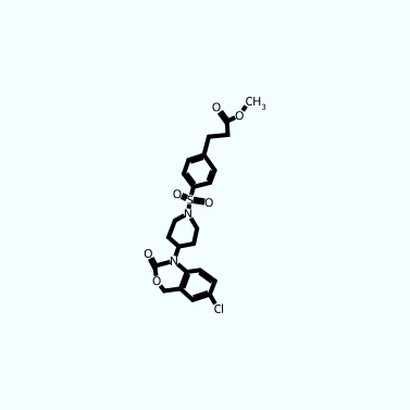 COC(=O)CCc1ccc(S(=O)(=O)N2CCC(N3C(=O)OCc4cc(Cl)ccc43)CC2)cc1